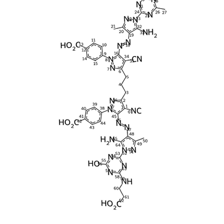 [C-]#[N+]c1c(CCCc2nn(-c3ccc(C(=O)O)cc3)c(/N=N/c3c(C)nn(-c4nc(C)nc(O)n4)c3N)c2C#N)nn(-c2ccc(C(=O)O)cc2)c1/N=N/c1c(C)nn(-c2nc(O)nc(NCCC(=O)O)n2)c1N